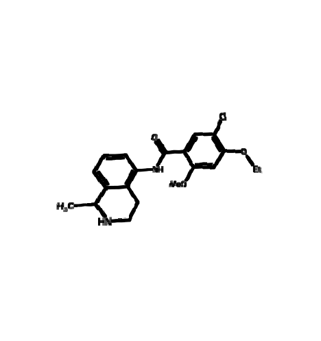 CCOc1cc(OC)c(C(=O)Nc2cccc3c2CCNC3C)cc1Cl